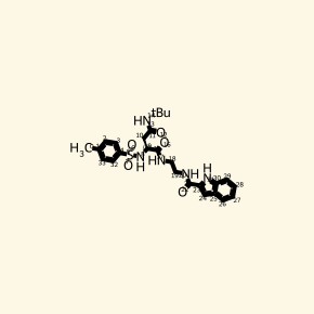 Cc1ccc(S(=O)(=O)N[C@@H](CC(=O)NC(C)(C)C)C(=O)NCCNC(=O)c2cc3ccccc3[nH]2)cc1